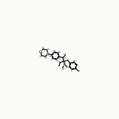 CCC(Cc1ccc(C)cc1)(C(C)c1ccc(N2CCOCC2)cc1)N(C)C